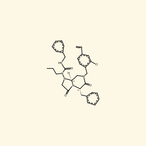 C=Cc1ccc(CN2C[C@H]3N(C(=O)CN3N(CCC)C(=O)NCc3ccccc3)[C@@H](Cc3ccccc3)C2=O)c(Cl)c1